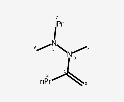 C=C(CCC)N(C)N(C)C(C)C